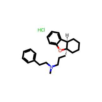 CN(CCC[C@@]12CCCC[C@@H]1c1ccccc1O2)CCc1ccccc1.Cl